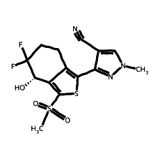 Cn1cc(C#N)c(-c2sc(S(C)(=O)=O)c3c2CCC(F)(F)[C@H]3O)n1